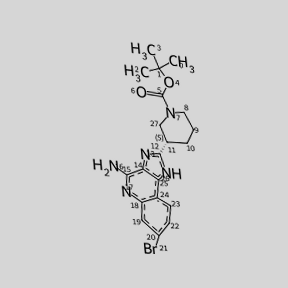 CC(C)(C)OC(=O)N1CCC[C@H](c2nc3c(N)nc4cc(Br)ccc4c3[nH]2)C1